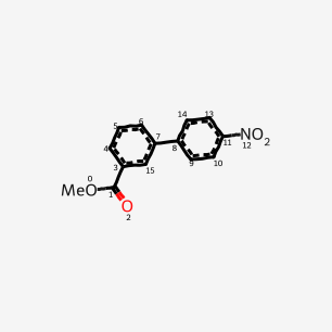 COC(=O)c1cccc(-c2ccc([N+](=O)[O-])cc2)c1